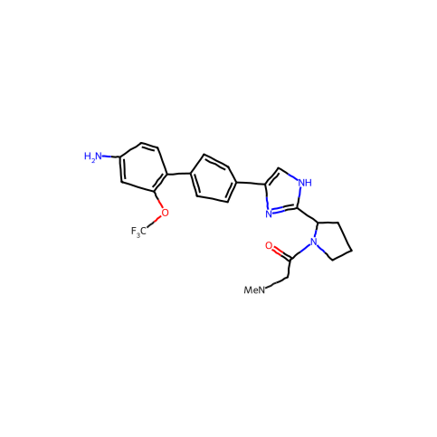 CNCC(=O)N1CCCC1c1nc(-c2ccc(-c3ccc(N)cc3OC(F)(F)F)cc2)c[nH]1